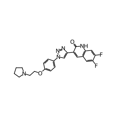 O=c1[nH]c2cc(F)c(F)cc2cc1-c1cn(-c2ccc(OCCN3CCCC3)cc2)nn1